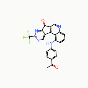 CC(=O)c1ccc(Nc2cccc3ncc4c(c23)-c2cnc(C(F)(F)F)nc2C4=O)cc1